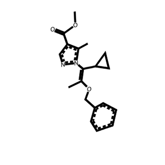 COC(=O)c1cnn(/C(=C(\C)OCc2ccccc2)C2CC2)c1C